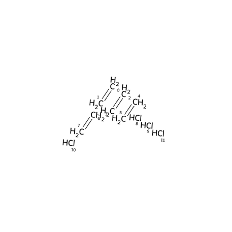 C=C.C=C.C=C.C=C.Cl.Cl.Cl.Cl